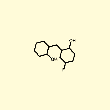 OC1CCCCC1CC1CC(F)CCC1O